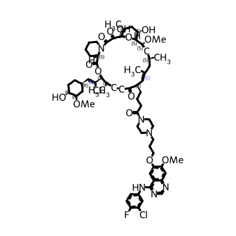 COc1cc2ncnc(Nc3ccc(F)c(Cl)c3)c2cc1OCCCN1CCN(C(=O)CCC[C@@H]2/C=C(\C)C[C@H](C)C[C@H](OC)[C@H]3O[C@@](O)(C(=O)C(=O)N4CCCC[C@H]4C(=O)O[C@H](/C(C)=C/[C@@H]4CC[C@@H](O)[C@H](OC)C4)[C@H](C)CCC2=O)[C@H](C)C[C@@H]3O)CC1